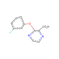 O=C(O)c1nccnc1Oc1cccc(F)c1